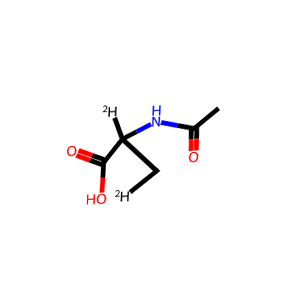 [2H]CC([2H])(NC(C)=O)C(=O)O